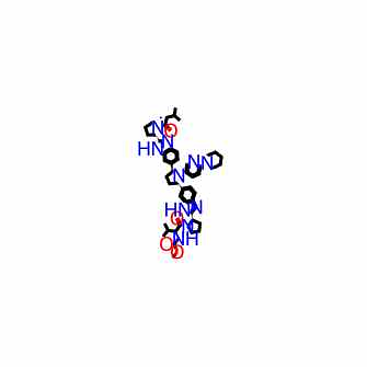 COC(=O)N[C@H](C(=O)N1CCC[C@H]1c1nc2ccc([C@@H]3CC[C@@H](c4ccc5nc([C@@H]6CCCN6C(=O)[CH]C(C)C)[nH]c5c4)N3c3ccc(N4CCCCC4)nc3)cc2[nH]1)C(C)C